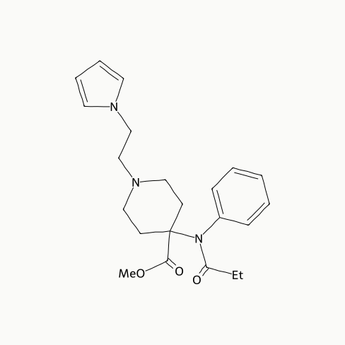 CCC(=O)N(c1ccccc1)C1(C(=O)OC)CCN(CCn2cccc2)CC1